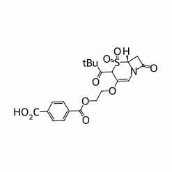 CC(C)(C)C(=O)C1C(OCCOC(=O)c2ccc(C(=O)O)cc2)=CN2C(=O)C[C@H]2S1(=O)=O